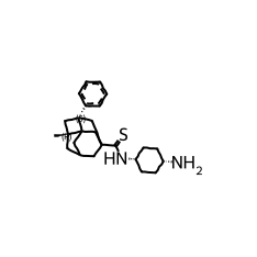 C[C@]12CC3CC4(C(=S)N[C@H]5CC[C@@H](N)CC5)CC1(C3)[C@](c1ccccc1)(C4)C2